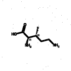 NCC[C@@H](F)[C@@H](N)C(=O)O